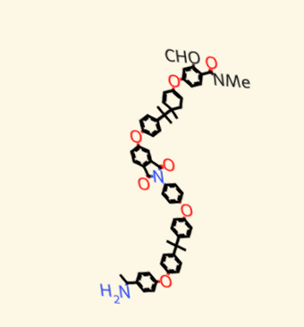 CNC(=O)c1ccc(OC2=CCC(C)(C(C)(C)c3ccc(Oc4ccc5c(c4)C(=O)N(c4ccc(Oc6ccc(C(C)(C)c7ccc(Oc8ccc(C(C)N)cc8)cc7)cc6)cc4)C5=O)cc3)C=C2)cc1C=O